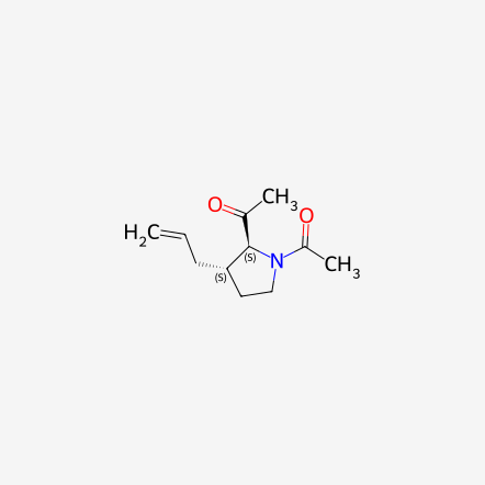 C=CC[C@H]1CCN(C(C)=O)[C@@H]1C(C)=O